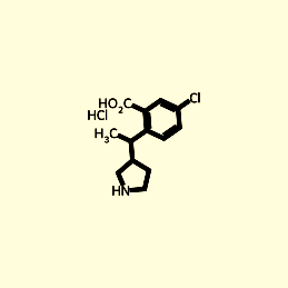 CC(c1ccc(Cl)cc1C(=O)O)C1CCNC1.Cl